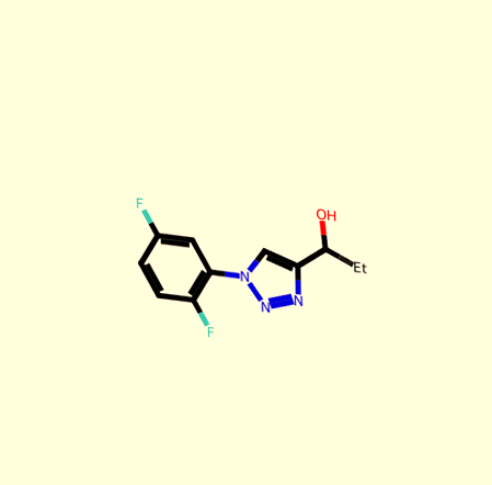 CCC(O)c1cn(-c2cc(F)ccc2F)nn1